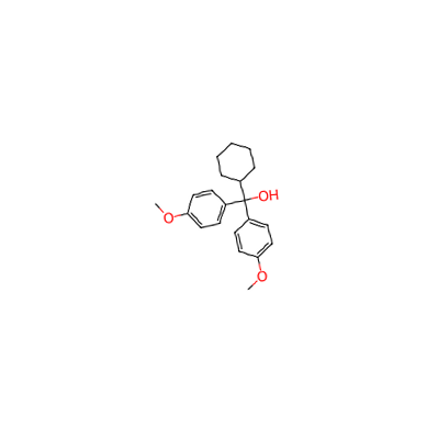 COc1ccc(C(O)(c2ccc(OC)cc2)C2CCCCC2)cc1